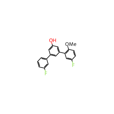 COc1ccc(F)cc1-c1cc(O)cc(-c2cccc(F)c2)c1